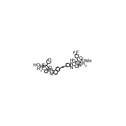 COC(=O)N[C@H](C(=O)N1[C@@H](C)CC[C@H]1c1nc2cc(C#Cc3ccc4c(ccc5nc([C@@H]6CC[C@H](C)N6C(=O)C(NC(=O)O)C6CCOCC6)[nH]c54)c3)ccc2[nH]1)C1CCC(F)(F)CC1